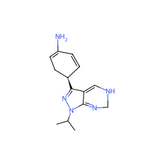 CC(C)n1nc([C@@H]2C=CC(N)=CC2)c2c1=NCNC=2